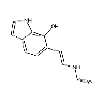 O=CNC=Cc1ccc2cc[nH]c2c1O